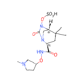 CN1CCC(ONC(=O)[C@@H]2CC(C)(C)[C@@H]3CN2C(=O)N3OS(=O)(=O)O)C1